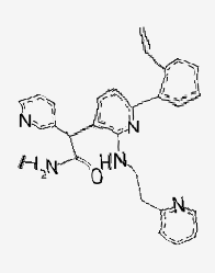 C=Cc1ccccc1-c1ccc(C(C(N)=O)c2cccnc2)c(NCCc2ccccn2)n1